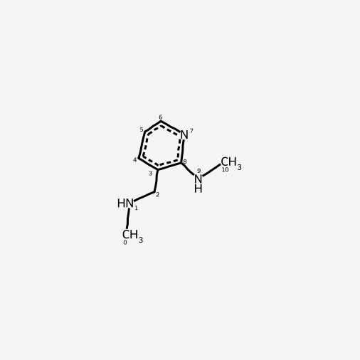 CNCc1cccnc1NC